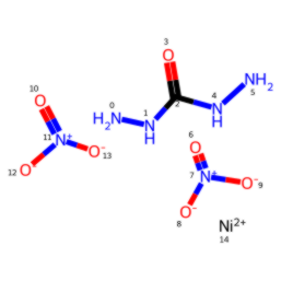 NNC(=O)NN.O=[N+]([O-])[O-].O=[N+]([O-])[O-].[Ni+2]